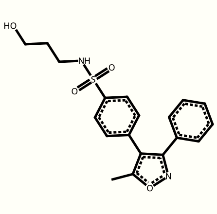 Cc1onc(-c2ccccc2)c1-c1ccc(S(=O)(=O)NCCCO)cc1